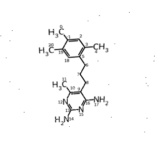 Cc1cc(C)c(CCCc2c(C)nc(N)nc2N)cc1C